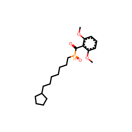 COc1cccc(OC)c1C(=O)[PH](=O)CCCCCCCC1CCCC1